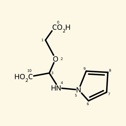 O=C(O)COC(Nn1cccc1)C(=O)O